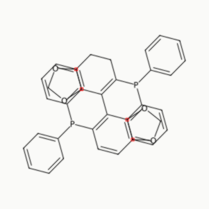 c1ccc(P(C2=C(c3c(P(c4ccccc4)c4ccccc4)ccc4c3OCO4)C3=C(CC2)OCO3)c2ccccc2)cc1